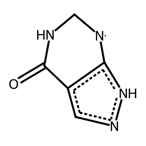 O=C1NC[N]c2[nH]ncc21